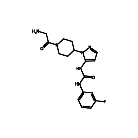 NCC(=O)N1CCC(n2nccc2NC(=O)Nc2cccc(F)c2)CC1